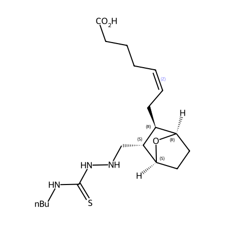 CCCCNC(=S)NNC[C@@H]1[C@@H](C/C=C\CCCC(=O)O)[C@H]2CC[C@@H]1O2